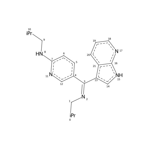 CC(C)C/N=C(\c1ccc(NCC(C)C)nc1)c1c[nH]c2ncccc12